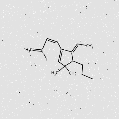 C=C(I)/C=C\C1=CC(C)(C)C(CCI)/C1=C\C